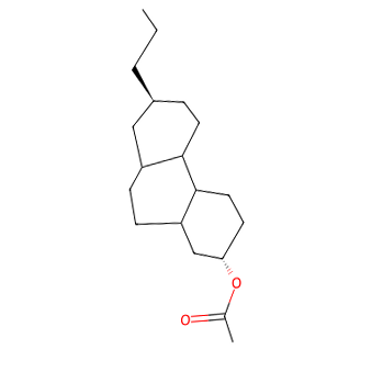 CCC[C@H]1CCC2C(CCC3C[C@@H](OC(C)=O)CCC32)C1